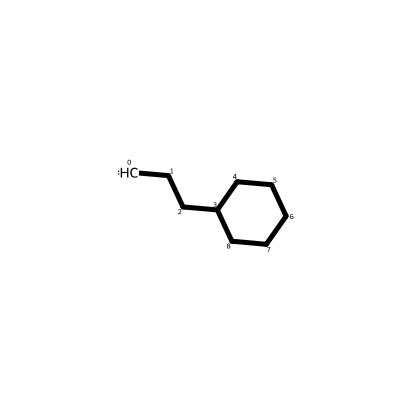 [CH]CCC1CCCCC1